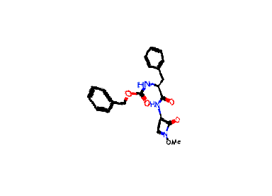 CON1C[C@@H](NC(=O)[C@H](Cc2ccccc2)NC(=O)OCc2ccccc2)C1=O